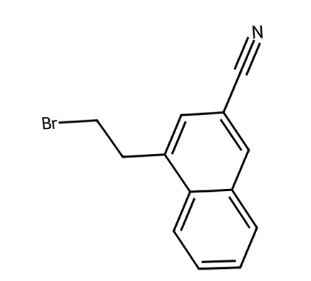 N#Cc1cc(CCBr)c2ccccc2c1